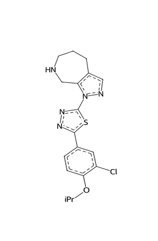 CC(C)Oc1ccc(-c2nnc(-n3ncc4c3CNCCC4)s2)cc1Cl